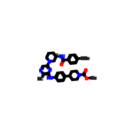 COc1ccc(C(=O)N[C@@H]2CCCN(c3cnc(C#N)c(Nc4ccc(C5CCN(C(=O)OC(C)(C)C)CC5)cc4)n3)C2)cc1